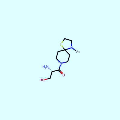 CC(=O)N1CCSC12CCN(C(=O)[C@@H](N)CO)CC2